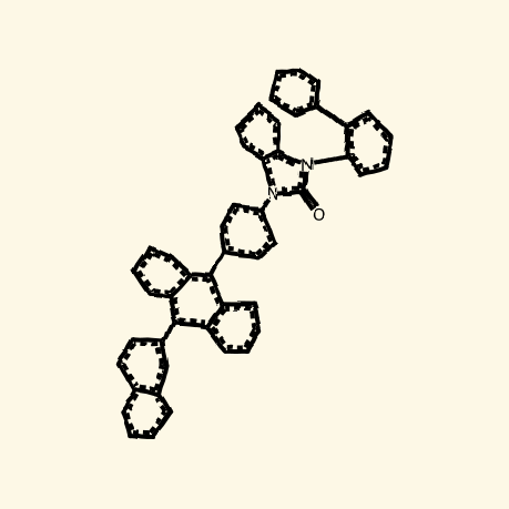 O=c1n(-c2ccc(-c3c4ccccc4c(-c4ccc5ccccc5c4)c4ccccc34)cc2)c2ccccc2n1-c1ccccc1-c1ccccc1